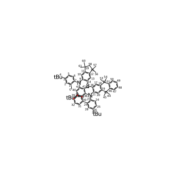 Cc1cc(C(C)(C)C)ccc1N1c2cc3c(cc2B2c4cc5c(cc4N(c4ccc(C(C)(C)C)cc4-c4ccccc4)c4cc(C(C)(C)C)cc1c42)C(C)(C)c1ccccc1C5(C)C)C(C)(C)CC3(C)C